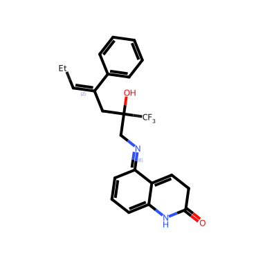 CC/C=C(/CC(O)(C/N=C1\C=CC=C2NC(=O)CC=C21)C(F)(F)F)c1ccccc1